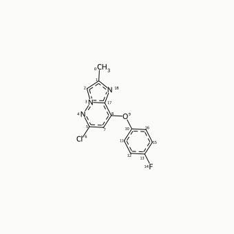 Cc1cn2nc(Cl)cc(Oc3ccc(F)cc3)c2n1